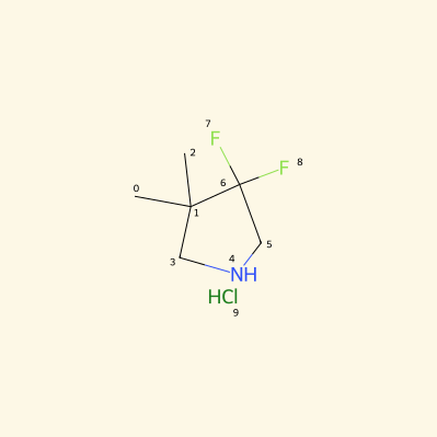 CC1(C)CNCC1(F)F.Cl